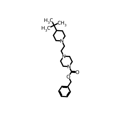 CC(C)(C)C1CCN(CCN2CCN(C(=O)OCc3ccccc3)CC2)CC1